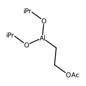 CC(=O)OC[CH2][Al]([O]C(C)C)[O]C(C)C